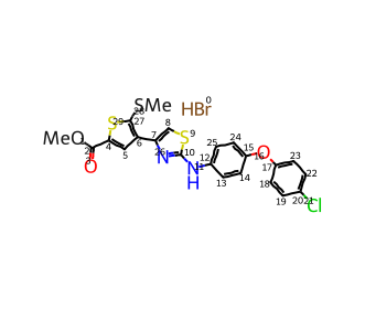 Br.COC(=O)c1cc(-c2csc(Nc3ccc(Oc4ccc(Cl)cc4)cc3)n2)c(SC)s1